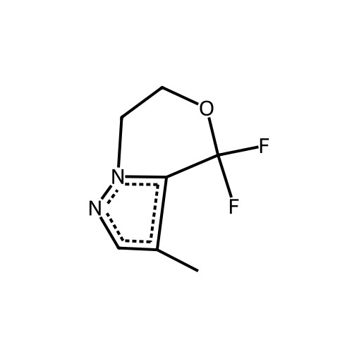 Cc1cnn2c1C(F)(F)OCC2